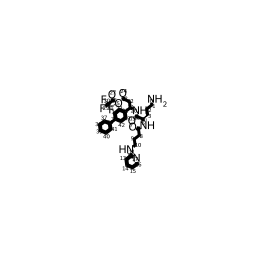 NCCC[C@@H](NC(=O)CCCNc1ccccn1)C(=O)NC(CC(=O)OC(=O)C(F)(F)F)c1ccc(-c2ccccc2)cc1